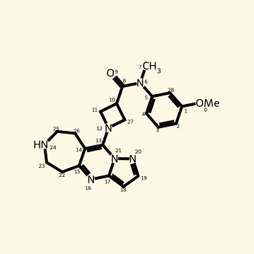 COc1cccc(N(C)C(=O)C2CN(c3c4c(nc5ccnn35)CCNCC4)C2)c1